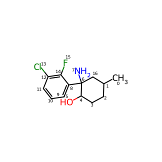 CC1CCC(O)C(N)(c2cccc(Cl)c2F)C1